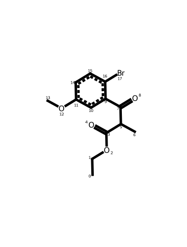 CCOC(=O)C(C)C(=O)c1cc(OC)ccc1Br